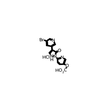 Cl.O=C(O)Oc1ccc(-n2[nH]cc(-c3cncc(Br)c3)c2=O)nc1